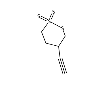 C#CC1CCS(=S)(=S)SC1